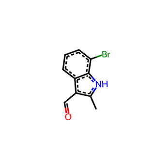 Cc1[nH]c2c(Br)cccc2c1C=O